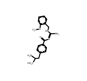 NC(=NC(=O)c1ccc(CC(N)C(=O)O)cc1)NCc1ccccc1OC(F)(F)F